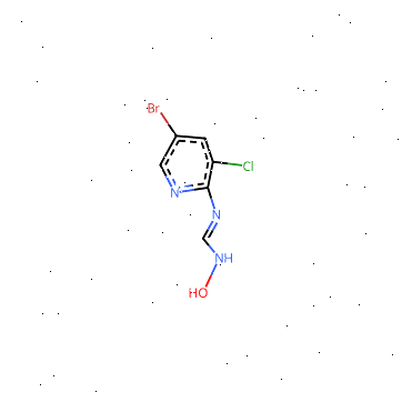 ON/C=N/c1ncc(Br)cc1Cl